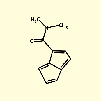 CN(C)C(=O)C1=CC=C2C=CC=C21